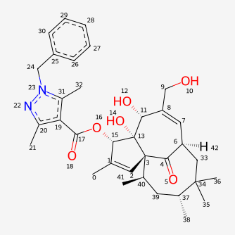 CC1=C[C@]23C(=O)[C@@H](C=C(CO)[C@@H](O)[C@]2(O)[C@H]1OC(=O)c1c(C)nn(Cc2ccccc2)c1C)CC(C)(C)[C@H](C)C[C@H]3C